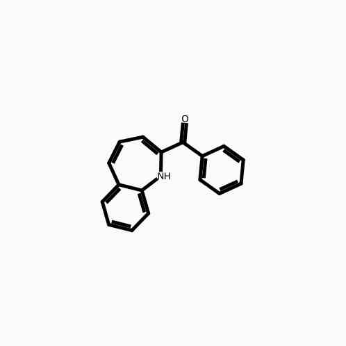 O=C(C1=CC=Cc2ccccc2N1)c1ccccc1